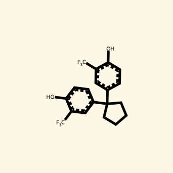 Oc1ccc(C2(c3ccc(O)c(C(F)(F)F)c3)CCCC2)cc1C(F)(F)F